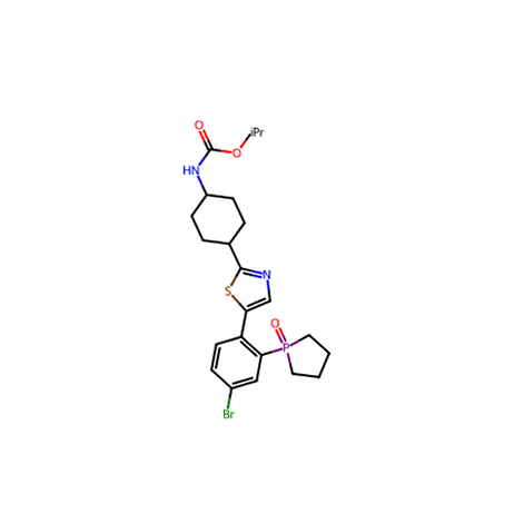 CC(C)OC(=O)NC1CCC(c2ncc(-c3ccc(Br)cc3P3(=O)CCCC3)s2)CC1